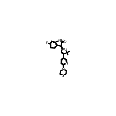 CC1(C)OC(=C2C(=O)Nc3cc(F)ccc32)C=C1c1ccc(N2CCSCC2)nc1